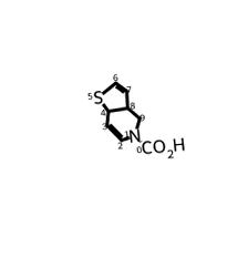 O=C(O)N1C=CC2SC=CC2C1